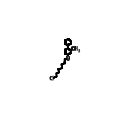 Cc1cc(OCCCCCCCCCl)ccc1-c1ccccc1